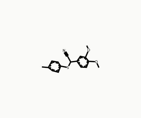 COc1ccc(C(C#N)Sc2ccc(C)cc2)cc1OC